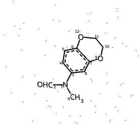 CN(C=O)c1ccc2c(c1)OCCO2